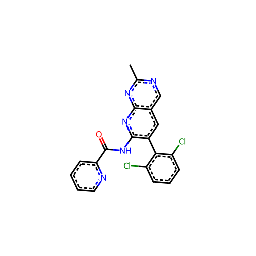 Cc1ncc2cc(-c3c(Cl)cccc3Cl)c(NC(=O)c3ccccn3)nc2n1